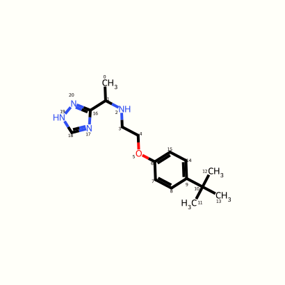 CC(NCCOc1ccc(C(C)(C)C)cc1)c1nc[nH]n1